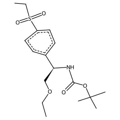 CCOC[C@H](NC(=O)OC(C)(C)C)c1ccc(S(=O)(=O)CC)cc1